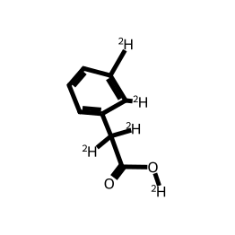 [2H]OC(=O)C([2H])([2H])c1cccc([2H])c1[2H]